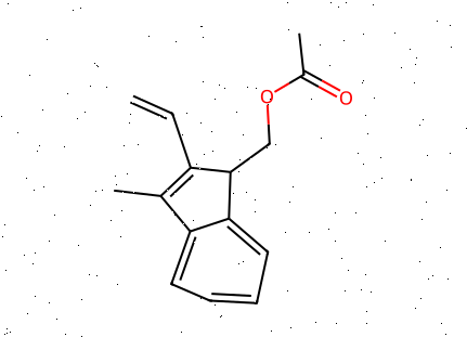 C=CC1=C(C)c2ccccc2C1COC(C)=O